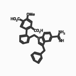 COc1cc(C(=O)O)c(-c2ccccc2Cn2cc(Cc3ccccc3)c3cc(C(=N)N)ccc32)cc1C(=O)O